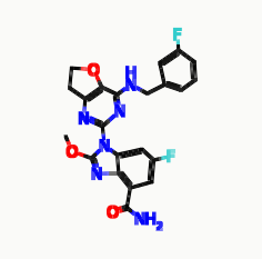 COc1nc2c(C(N)=O)cc(F)cc2n1-c1nc2c(c(NCc3cccc(F)c3)n1)OCC2